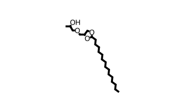 CCCCCCCCCCCCCCCC1OCC(COCC(C)O)O1